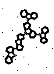 c1ccc2c(c1)sc1c(-c3cccc4c3sc3ccc(-n5c6ccc(-n7c8ccccc8c8ccccc87)cc6c6cc(-n7c8ccccc8c8ccccc87)ccc65)cc34)cccc12